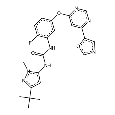 Cn1nc(C(C)(C)C)cc1NC(=O)Nc1cc(Oc2cc(-c3cnco3)ncn2)ccc1F